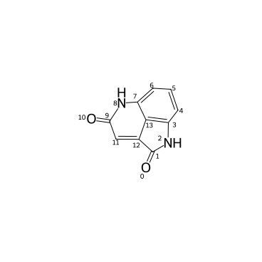 O=C1Nc2cccc3[nH]c(=O)cc1c23